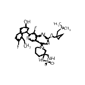 CCc1c(F)ccc2cc(O)cc(-c3ncc4c(N5CCCC6(CNS(=O)(=O)N6)C5)nc(OCC5(CN(C)C)CC5)nc4c3F)c12